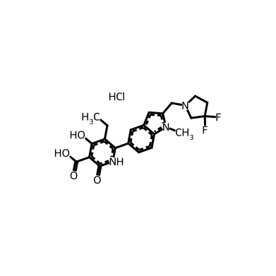 CCc1c(-c2ccc3c(c2)cc(CN2CCC(F)(F)C2)n3C)[nH]c(=O)c(C(=O)O)c1O.Cl